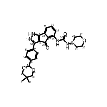 CC1(C)COC(c2ccc(-c3n[nH]c4c3C(=O)c3c(NC(=O)NN5CCOCC5)cccc3-4)cc2)OC1